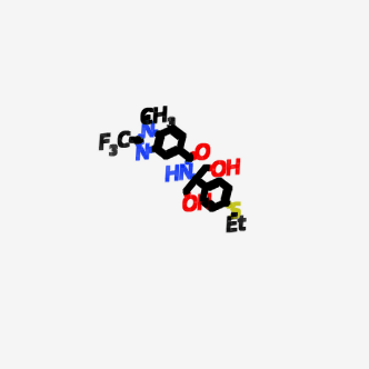 CCSc1ccc(C(CO)(CO)NC(=O)c2ccc3c(c2)nc(C(F)(F)F)n3C)cc1